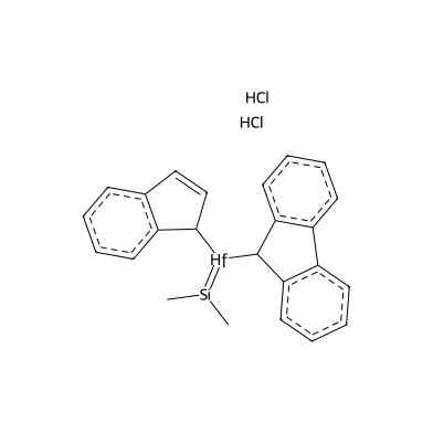 C[Si](C)=[Hf]([CH]1C=Cc2ccccc21)[CH]1c2ccccc2-c2ccccc21.Cl.Cl